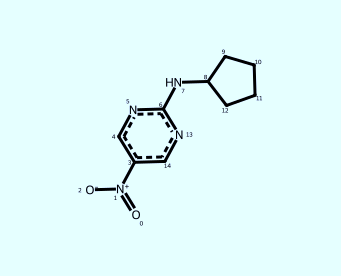 O=[N+]([O-])c1cnc(NC2CCCC2)nc1